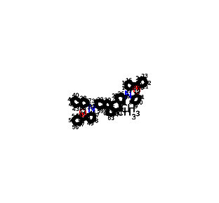 CC1(C)c2cc(N(c3ccccc3)c3cccc4c3oc3ccccc34)ccc2-c2cc3ccc(N(c4ccc5ccccc5c4)c4cccc5c4oc4ccccc45)cc3c3cccc1c23